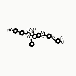 N#Cc1ccc(-c2ccc(C[C@H](NC(=O)[C@@H]3Cc4cc5c(cc4CN3Cc3ccccc3)OC(c3ccc(OCc4ccc(Cl)c(Cl)c4)cc3)CO5)C(=O)O)cc2)cc1